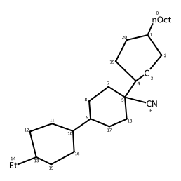 CCCCCCCCC1CCC(C2(C#N)CCC(C3CCC(CC)CC3)CC2)CC1